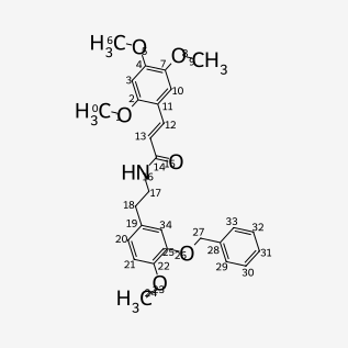 COc1cc(OC)c(OC)cc1C=CC(=O)NCCc1ccc(OC)c(OCc2ccccc2)c1